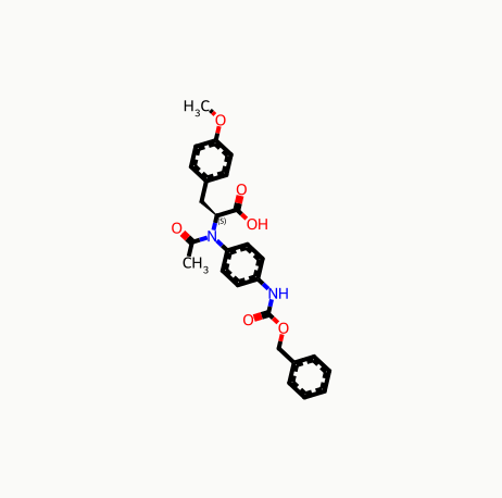 COc1ccc(C[C@@H](C(=O)O)N(C(C)=O)c2ccc(NC(=O)OCc3ccccc3)cc2)cc1